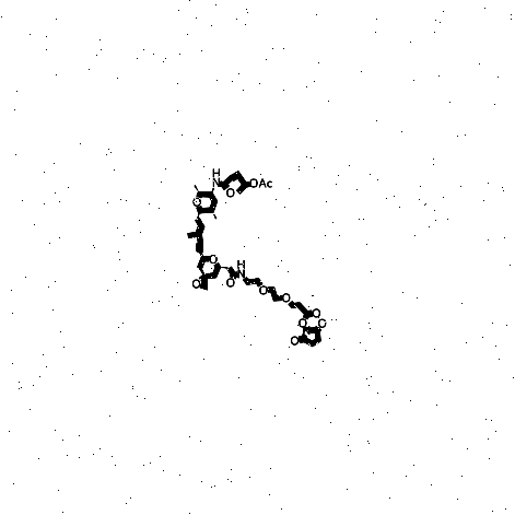 CC(=O)OC(C)/C=C\C(=O)N[C@@H]1C[C@H](C)[C@H](C/C=C(C)/C=C/[C@@H]2C[C@]3(CO3)C[C@@H](CC(=O)NCCOCCOCCC(=O)ON3C(=O)CCC3=O)O2)O[C@@H]1C